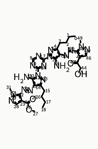 CCCCc1nn(-c2ncnc(-n3nc(CCCC)c(/N=N/c4c(C(=O)OC)cnn4C)c3N)n2)c(N)c1/N=N/c1c(C(=O)CO)cnn1C